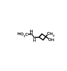 CC1(O)CC(NNC(=O)O)C1